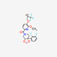 COc1nc(C(=O)N2CCC3(c4cccc(F)c4F)OCOC3C2)ccc1OCC1(C(F)(F)F)CC1